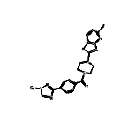 CC(C)(C)n1cnc(-c2ccc(C(=O)N3CCN(c4nc5nc(Cl)ccc5o4)CC3)cc2)n1